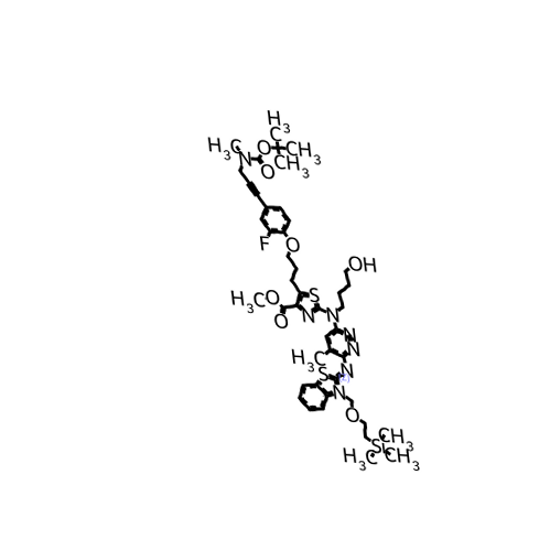 COC(=O)c1nc(N(CCCCO)c2cc(C)c(/N=c3\sc4ccccc4n3COCC[Si](C)(C)C)nn2)sc1CCCOc1ccc(C#CCN(C)C(=O)OC(C)(C)C)cc1F